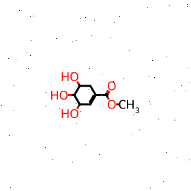 COC(=O)C1=CC(O)C(O)C(O)C1